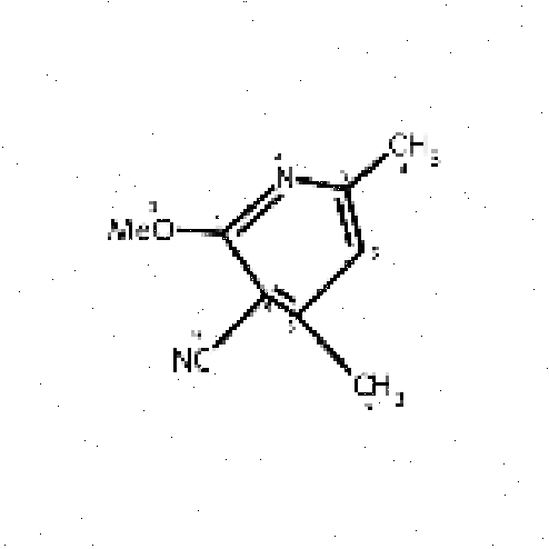 [CH2]Oc1nc(C)cc(C)c1C#N